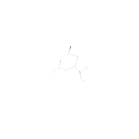 C[C@H]1CC(C(=O)O)=CN(C)C1